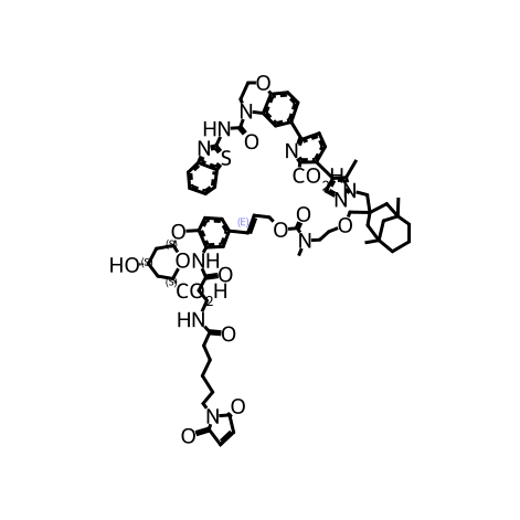 Cc1c(-c2ccc(-c3ccc4c(c3)N(C(=O)Nc3nc5ccccc5s3)CCO4)nc2C(=O)O)cnn1CC1(COCCN(C)C(=O)OC/C=C/c2ccc(O[C@H]3C[C@@H](O)C[C@@H](C(=O)O)O3)c(NC(=O)CCNC(=O)CCCCCN3C(=O)C=CC3=O)c2)CC2(C)CCCC(C)(C2)C1